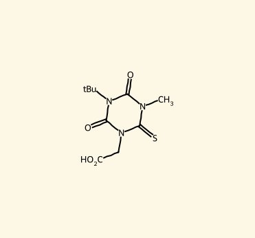 Cn1c(=S)n(CC(=O)O)c(=O)n(C(C)(C)C)c1=O